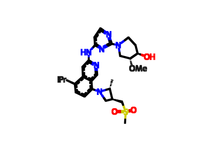 CO[C@@H]1CN(c2nccc(Nc3cc4c(C(C)C)ccc(N5C[C@H](CS(C)(=O)=O)[C@H]5C)c4cn3)n2)CC[C@H]1O